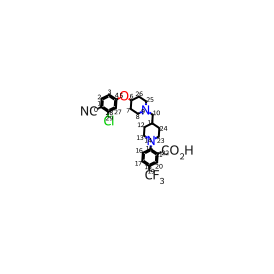 N#Cc1ccc(OC2CCN(CC3CCN(c4ccc(C(F)(F)F)cc4C(=O)O)CC3)CC2)cc1Cl